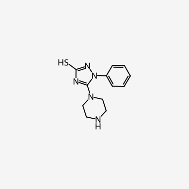 Sc1nc(N2CCNCC2)n(-c2ccccc2)n1